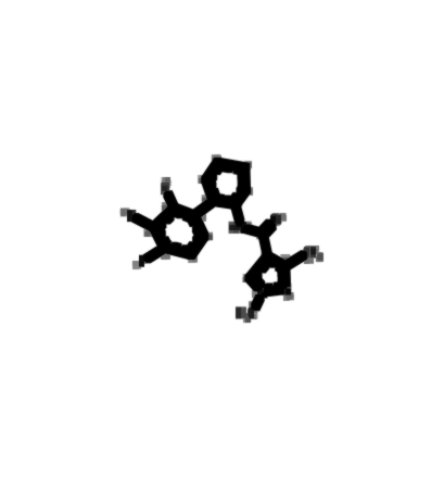 Cn1cc(C(=O)Nc2ccccc2-c2ccc(F)c(F)c2F)c(C(F)(F)F)n1